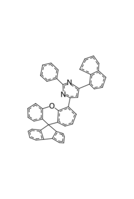 c1ccc(-c2nc(-c3cccc4c3Oc3ccccc3C43c4ccccc4-c4ccccc43)cc(-c3cccc4ccccc34)n2)cc1